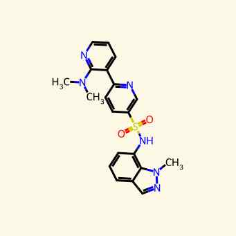 CN(C)c1ncccc1-c1ccc(S(=O)(=O)Nc2cccc3cnn(C)c23)cn1